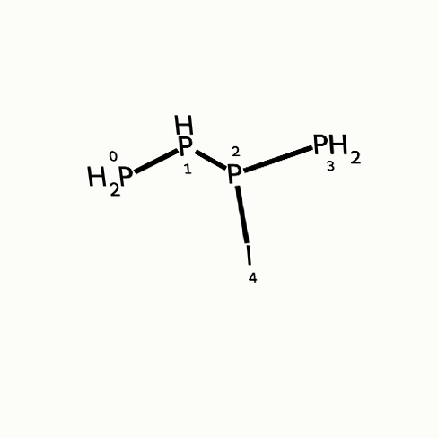 PPP(P)I